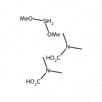 CN(C)C(=O)O.CN(C)C(=O)O.CO[SiH2]OC